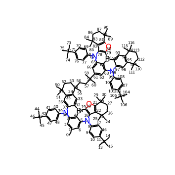 Cc1cc2c3c(c1)N(c1ccc(C(C)(C)C)cc1)c1c(oc4c1C(C)(C)CCC4(C)C)B3c1cc3c(cc1N2c1ccc(C(C)(C)C)cc1)C(C)(C)CCC3(C)CCC(C)(C)c1cc2c3c(c1)N(c1ccc(C(C)(C)C)cc1)c1c(oc4c1C(C)(C)CCC4(C)C)B3c1cc3c(cc1N2c1ccc(C(C)(C)C)cc1)C(C)(C)CCC3(C)C